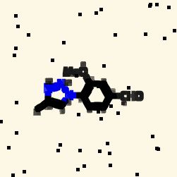 COc1cc(C=O)ccc1-n1cc(C)nn1